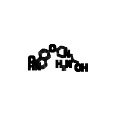 NC(CO)CN1CCC(Oc2ccc3c(=O)[nH]ccc3c2)CC1